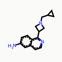 Nc1ccc2c(C3CN(CC4CC4)C3)nccc2c1